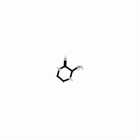 NC1OCCOC1=O